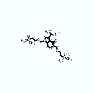 C=C(OCCCC)c1cn(COCC[Si](C)(C)C)c2cnn(COCC[Si](C)(C)C)c(=O)c12